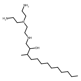 CCCCCCCCCCC(C)C(O)CNCCN(CCN)CCN